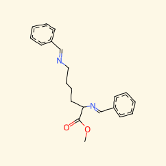 COC(=O)C(CCCCN=Cc1ccccc1)N=Cc1ccccc1